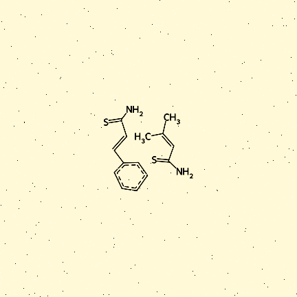 CC(C)=CC(N)=S.NC(=S)/C=C/c1ccccc1